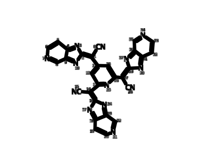 N#C/C(=C1\N=c2ccncc2=N1)c1cc(/C(C#N)=C2/N=c3ccncc3=N2)nc(/C(C#N)=C2/N=c3ccncc3=N2)c1